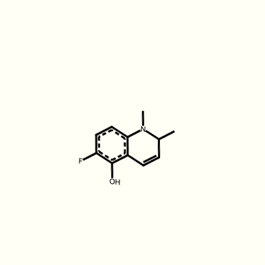 CC1C=Cc2c(ccc(F)c2O)N1C